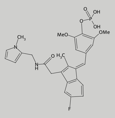 COc1cc(C=C2C(C)=C(CC(=O)NCc3cccn3C)c3cc(F)ccc32)cc(OC)c1OP(=O)(O)O